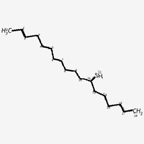 CCCCCCCCCCCC(S)CCCCCC